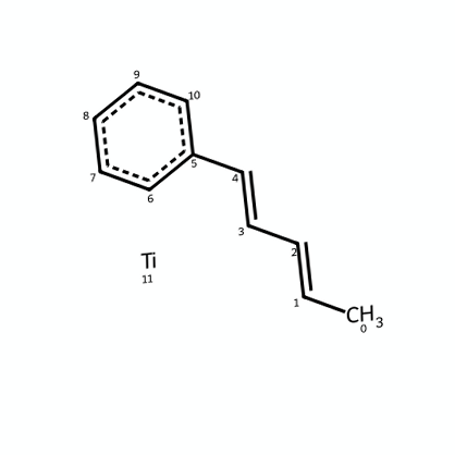 CC=CC=Cc1ccccc1.[Ti]